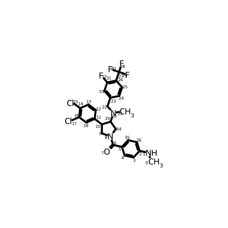 CNc1ccc(C(=O)N2CC(c3ccc(Cl)c(Cl)c3)C(N(C)Cc3ccc(C(F)(F)F)c(F)c3)C2)cc1